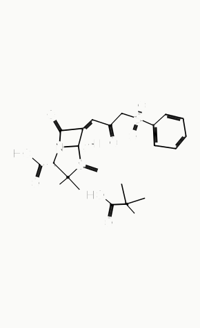 C=S1[C@@H]2C(=CC(=O)CS(=O)(=O)c3ccccc3)C(=O)N2[C@@H](C(=O)O)C1(C)C.CC(C)(C)C(=O)O